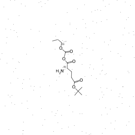 CC[C@H](C)OC(=O)OC(=O)[C@@H](N)CCC(=O)OC(C)(C)C